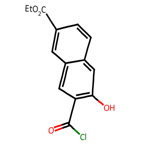 CCOC(=O)c1ccc2cc(O)c(C(=O)Cl)cc2c1